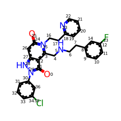 O=c1c2c(CNCCc3cccc(F)c3)n(CCc3ccccn3)c(=O)cc2[nH]n1-c1cccc(Cl)c1